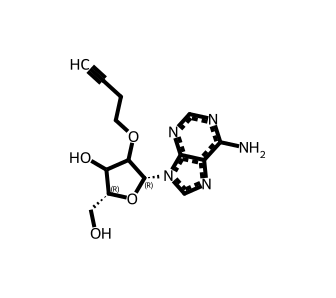 C#CCCOC1C(O)[C@@H](CO)O[C@H]1n1cnc2c(N)ncnc21